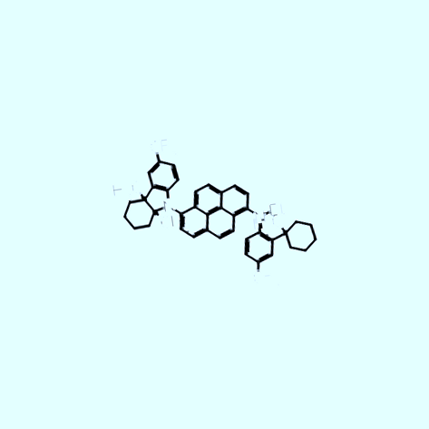 CCN(c1ccc(C(F)(F)F)cc1C1(C)CCCCC1)c1ccc2ccc3c(N4c5ccc(C(F)(F)F)cc5C5(C)CCCCC45C)ccc4ccc1c2c43